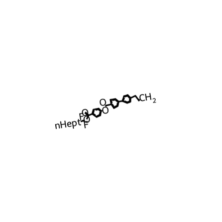 C=CCc1ccc(-c2ccc(C(=O)Oc3ccc(C(=O)OC(F)(F)CCCCCCC)cc3)cc2)cc1